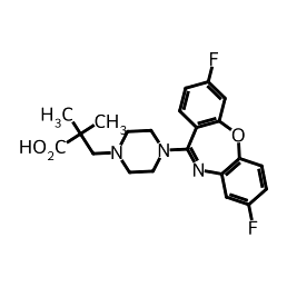 CC(C)(CN1CCN(C2=Nc3cc(F)ccc3Oc3cc(F)ccc32)CC1)C(=O)O